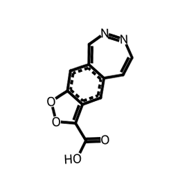 O=C(O)C1=c2cc3c(cc2OO1)=CN=NC=C3